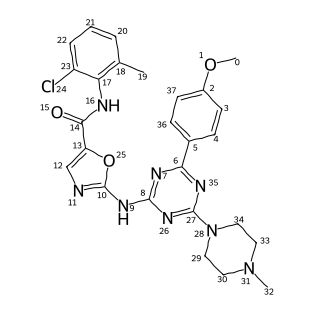 COc1ccc(-c2nc(Nc3ncc(C(=O)Nc4c(C)cccc4Cl)o3)nc(N3CCN(C)CC3)n2)cc1